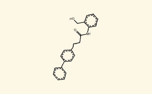 O=C(CCc1ccc(-c2ccccc2)cc1)Nc1ccccc1CO